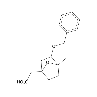 CC12CCC(CC(=O)O)(CC1OCc1ccccc1)O2